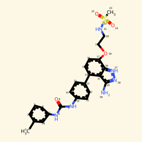 Cc1cccc(NC(=O)Nc2ccc(-c3ccc(OCCNS(C)(=O)=O)c4[nH]nc(N)c34)cc2)c1